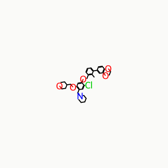 Cc1c(COc2cc(OCC3CCOCC3)c(CN3CCCCC3)cc2Cl)cccc1-c1ccc2c(c1)OCCO2